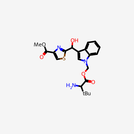 COC(=O)c1csc(C(O)c2cn(COC(=O)C(N)C(C)(C)C)c3ccccc23)n1